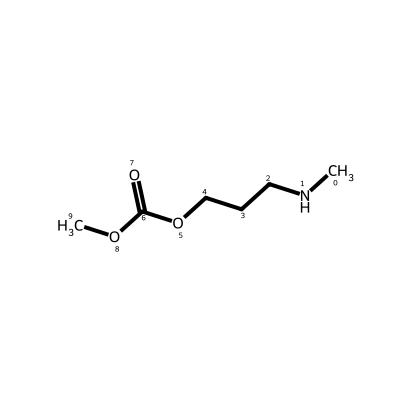 CNCCCOC(=O)OC